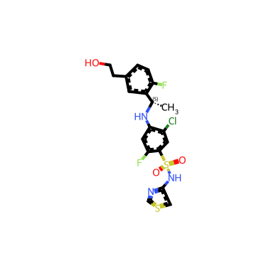 C[C@H](Nc1cc(F)c(S(=O)(=O)Nc2cscn2)cc1Cl)c1cc(CCO)ccc1F